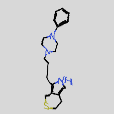 c1ccc(N2CCN(CCCc3[nH]cc4c3CSCC4)CC2)cc1